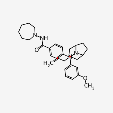 C=CCN1CC2CCC(C1)N2C(c1ccc(C(=O)NN2CCCCCC2)cc1)c1cccc(OC)c1